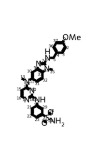 COc1ccc(CNc2nc3cc(N(C)c4ccnc(Nc5cccc(S(N)(=O)=O)c5)n4)ccc3n2C)cc1